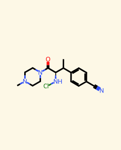 CC(c1ccc(C#N)cc1)[C@@H](NCl)C(=O)N1CCN(C)CC1